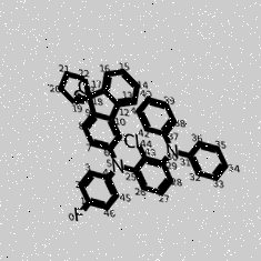 Fc1ccc(N(c2ccc3c(c2)-c2ccccc2C32C3CCC2CC3)c2cccc(N(c3ccccc3)c3ccccc3)c2Cl)cc1